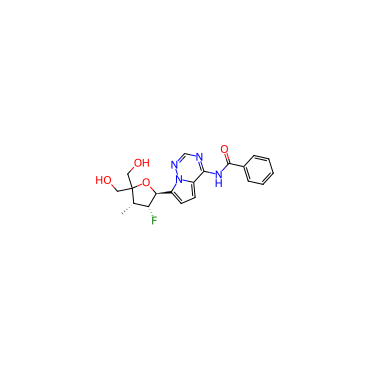 C[C@H]1[C@@H](F)[C@H](c2ccc3c(NC(=O)c4ccccc4)ncnn23)OC1(CO)CO